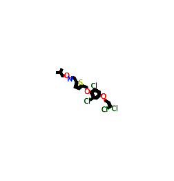 CC(C)CO/N=C/c1ccc(COc2c(Cl)cc(OCC=C(Cl)Cl)cc2Cl)s1